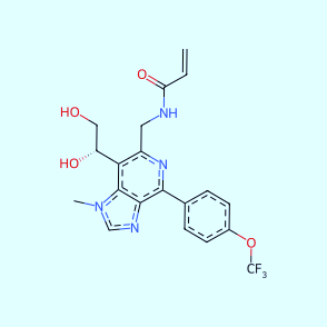 C=CC(=O)NCc1nc(-c2ccc(OC(F)(F)F)cc2)c2ncn(C)c2c1[C@H](O)CO